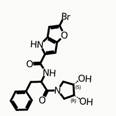 O=C(NC(Cc1ccccc1)C(=O)N1C[C@@H](O)[C@@H](O)C1)c1cc2oc(Br)cc2[nH]1